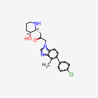 Cc1c(-c2ccc(Cl)cc2)ccc2c1ncn2CC(=O)C[C@H]1NCCC[C@@H]1O